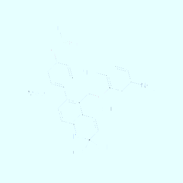 CCS(=O)Oc1ccc(-c2ccc3c(c2COc2cc([N+](=O)[O-])ccc2C)C(C)=CC(C)(C)N3)c(OC)c1